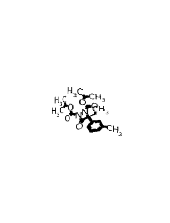 CC[C@@]1(c2cccc(C)c2)C(=O)N(C(=O)OC(C)C)N1C(=O)OC(C)C